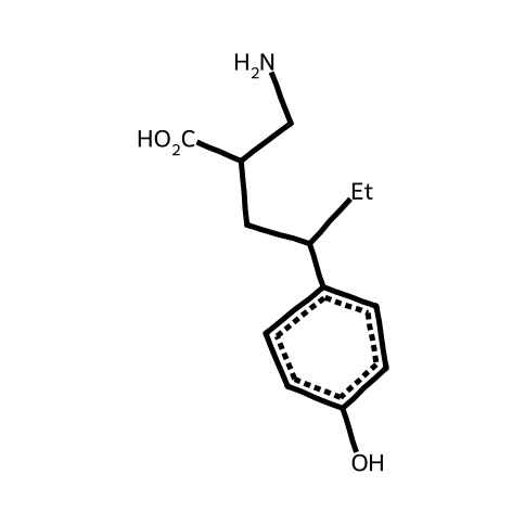 CCC(CC(CN)C(=O)O)c1ccc(O)cc1